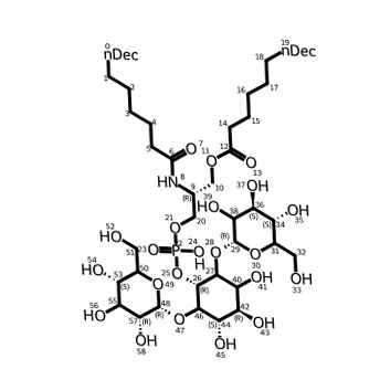 CCCCCCCCCCCCCCCC(=O)N[C@H](COC(=O)CCCCCCCCCCCCCCC)COP(=O)(O)O[C@@H]1C(O[C@H]2OC(CO)[C@@H](O)[C@H](O)C2O)C(O)[C@@H](O)[C@H](O)C1O[C@H]1OC(CO)[C@@H](O)C(O)[C@H]1O